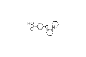 O=C(O)c1ccc(O[C@@H]2CCCC[C@H]2N2CCCCC2)cc1